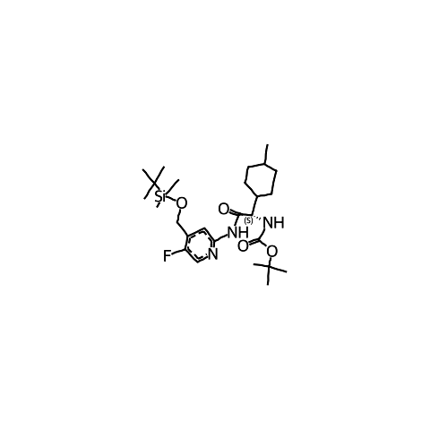 CC1CCC([C@H](NC(=O)OC(C)(C)C)C(=O)Nc2cc(CO[Si](C)(C)C(C)(C)C)c(F)cn2)CC1